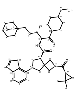 C[C@@H](OCC12CCC(CC1)OC2)[C@H](NC(=O)[C@@H]1CN(c2ncnc3ncsc23)CC12CN(C(=O)[C@H]1CC1(C)C)C2)C(=O)N1CCC(OC(F)(F)F)CC1